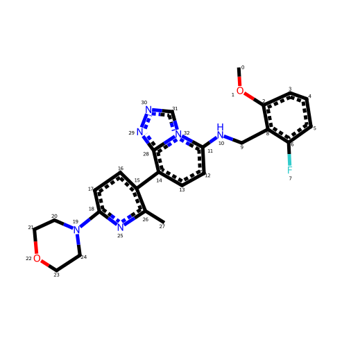 COc1cccc(F)c1CNc1ccc(-c2ccc(N3CCOCC3)nc2C)c2nncn12